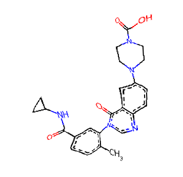 Cc1ccc(C(=O)NC2CC2)cc1-n1cnc2ccc(N3CCN(C(=O)O)CC3)cc2c1=O